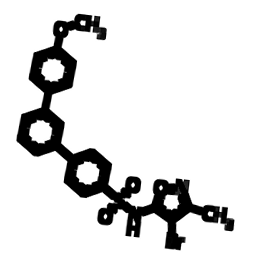 COc1ccc(-c2cccc(-c3ccc(S(=O)(=O)Nc4onc(C)c4Br)cc3)c2)cc1